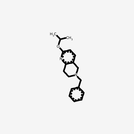 CC(C)Oc1ccc2c(n1)CCN(Cc1ccccc1)C2